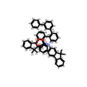 CC1(C)c2ccccc2-c2ccc(N(c3ccc4c(c3)C(C)(C)c3ccccc3-4)c3cccc(-c4cccc(-c5ccccc5)c4)c3-c3cccc4oc5ccccc5c34)cc21